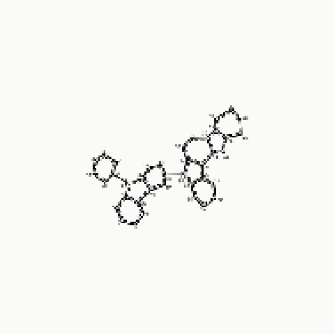 c1ccc(-n2c3ccccc3c3cc(-n4c5ccccc5c5c6sc7ccccc7c6ccc54)ccc32)cc1